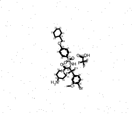 COc1cc(C(F)(F)[C@H](NS(=O)(=O)c2ccc(OCC3CCCCC3)cc2)C(=O)N2CCC(N)CC2)ccc1Br.O=C(O)C(F)(F)F